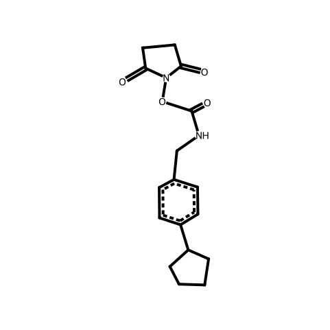 O=C(NCc1ccc(C2CCCC2)cc1)ON1C(=O)CCC1=O